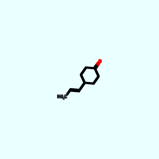 O=C(O)/C=C/C1CCC(=O)CC1